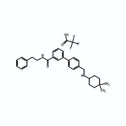 CC1(C)CCC(NCc2ccc(-c3cccc(C(=O)NCCc4ccccc4)c3)cc2)CC1.O=C(O)C(F)(F)F